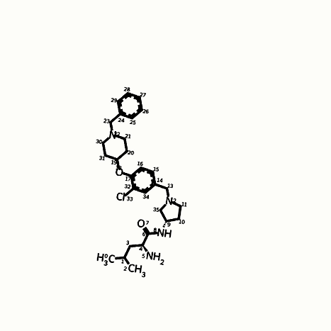 CC(C)C[C@H](N)C(=O)N[C@H]1CCN(Cc2ccc(OC3CCN(Cc4ccccc4)CC3)c(Cl)c2)C1